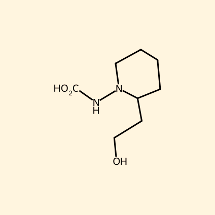 O=C(O)NN1CCCCC1CCO